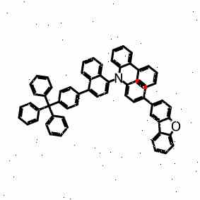 c1ccc(-c2ccccc2N(c2ccc(-c3ccc4oc5ccccc5c4c3)cc2)c2ccc(-c3ccc(C(c4ccccc4)(c4ccccc4)c4ccccc4)cc3)c3ccccc23)cc1